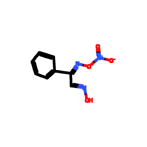 O=[N+]([O-])ON=C(C=NO)c1ccccc1